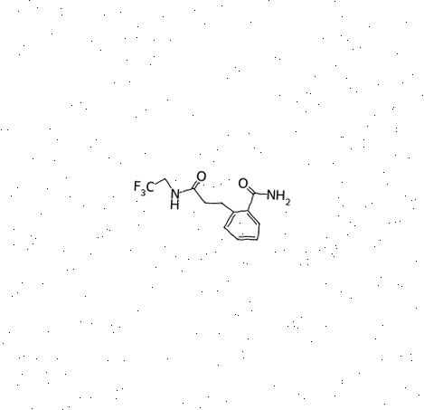 NC(=O)c1ccccc1CCC(=O)NCC(F)(F)F